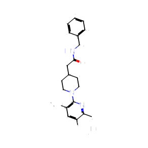 CCOC(=O)c1cc(C#N)c(N2CCC(CC(=O)NCc3ccccc3)CC2)nc1C